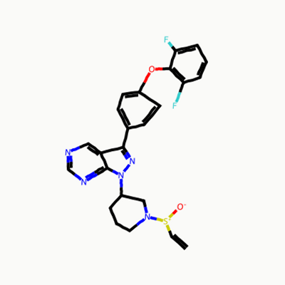 C=C[S+]([O-])N1CCCC(n2nc(-c3ccc(Oc4c(F)cccc4F)cc3)c3cncnc32)C1